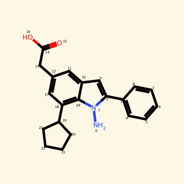 Nn1c(-c2ccccc2)cc2cc(CC(=O)O)cc(C3CCCC3)c21